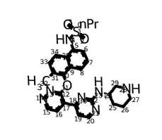 CCCS(=O)(=O)Nc1cccc2c(Oc3nnccc3-c3ccnc(N[C@H]4CCCNC4)n3)c(C)ccc12